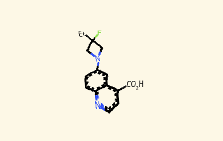 CCC1(F)CN(c2ccc3nccc(C(=O)O)c3c2)C1